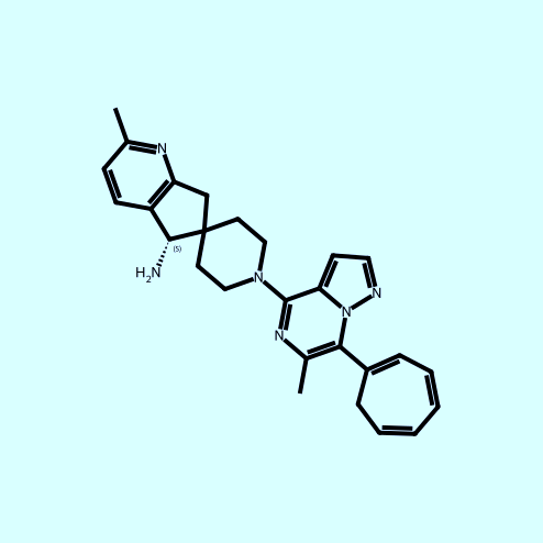 Cc1ccc2c(n1)CC1(CCN(c3nc(C)c(C4=CC=CC=CC4)n4nccc34)CC1)[C@@H]2N